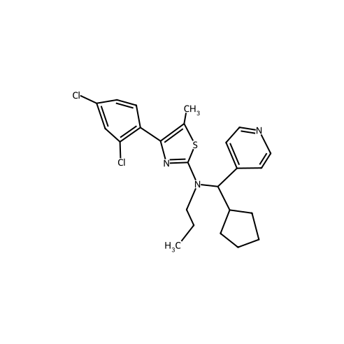 CCCN(c1nc(-c2ccc(Cl)cc2Cl)c(C)s1)C(c1ccncc1)C1CCCC1